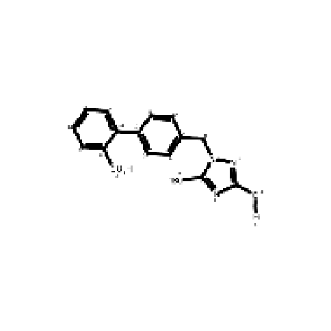 CCCCc1nc(OCC)nn1Cc1ccc(-c2ccccc2C(=O)O)cc1